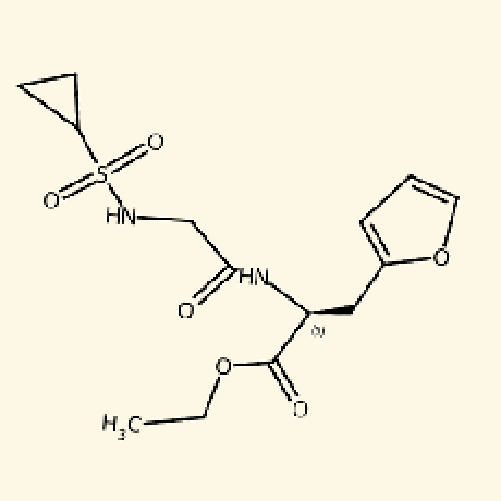 CCOC(=O)[C@H](Cc1ccco1)NC(=O)CNS(=O)(=O)C1CC1